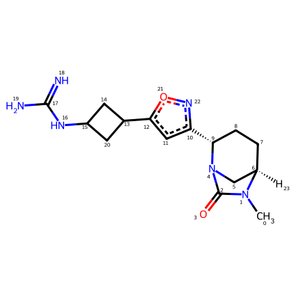 CN1C(=O)N2C[C@H]1CC[C@H]2c1cc(C2CC(NC(=N)N)C2)on1